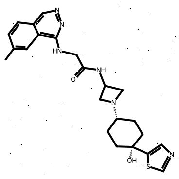 Cc1ccc2cnnc(NCC(=O)NC3CN([C@H]4CC[C@](O)(c5cncs5)CC4)C3)c2c1